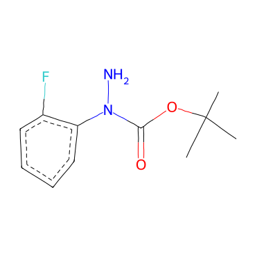 CC(C)(C)OC(=O)N(N)c1ccccc1F